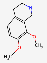 COc1ccc2c(c1OC)C[N]CC2